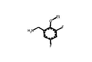 CCOc1c(F)cc(F)cc1CN